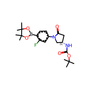 CC(C)(C)OC(=O)N[C@H]1CC(=O)N(c2ccc(B3OC(C)(C)C(C)(C)O3)c(F)c2)C1